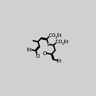 CC/C=C(/Cl)CC(S/C(=C\C(C)/C=C(/Cl)CC)C(=O)OCC)C(=O)OCC